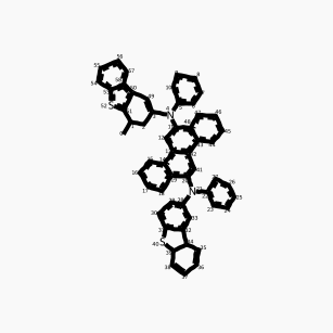 CC1CC(N(c2ccccc2)c2cc3c4ccccc4c(N(c4ccccc4)c4ccc5c(c4)C4C=CC=CC4S5)cc3c3ccccc23)=Cc2c1sc1ccccc21